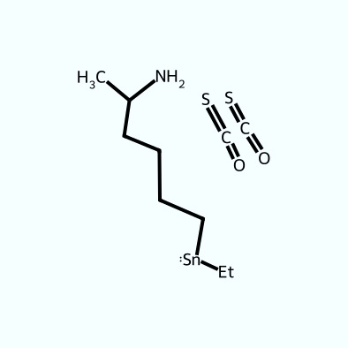 C[CH2][Sn][CH2]CCCC(C)N.O=C=S.O=C=S